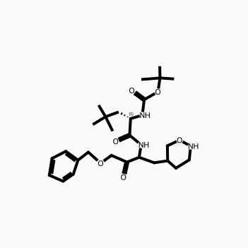 CC(C)(C)C[C@H](NC(=O)OC(C)(C)C)C(=O)NC(CC1CCNOC1)C(=O)COCc1ccccc1